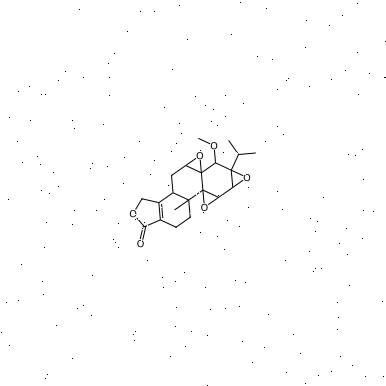 COC1C2(C(C)C)OC2C2OC23C2(C)CCC4=C(COC4=O)C2CC2OC213